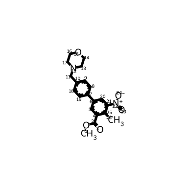 COC(=O)c1cc(-c2ccc(CN3CCOCC3)cc2)cc([N+](=O)[O-])c1C